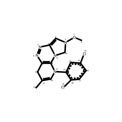 CON1C=C2N=NC3=C(N2C1)N(c1cc(Cl)ccc1Cl)C=C(C)C3